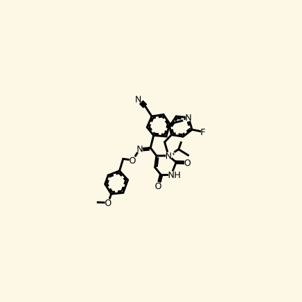 COc1ccc(CON=C(C2=CC(=O)NC(=O)[N+]2(Cc2ccnc(F)c2)C(C)C)c2cc(C)cc(C#N)c2)cc1